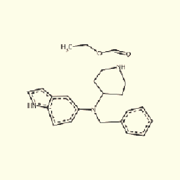 CCOC=O.c1ccc(CN(c2ccc3[nH]ccc3c2)C2CCNCC2)cc1